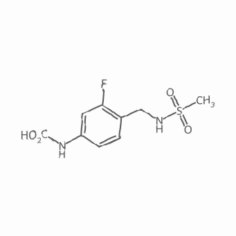 CS(=O)(=O)NCc1ccc(NC(=O)O)cc1F